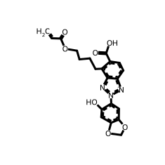 C=CC(=O)OCCCCc1c(C(=O)O)ccc2nn(-c3cc4c(cc3O)OCO4)nc12